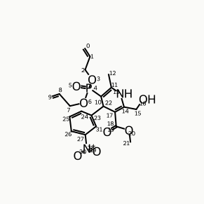 C=CCOP(=O)(OCC=C)C1=C(C)NC(CO)=C(C(=O)OC)C1c1cccc([N+](=O)[O-])c1